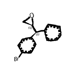 Brc1ccc([C@H](c2ccccc2)[C@H]2CO2)cc1